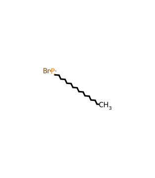 CCCCCCCCCCCCCCCC[P]Br